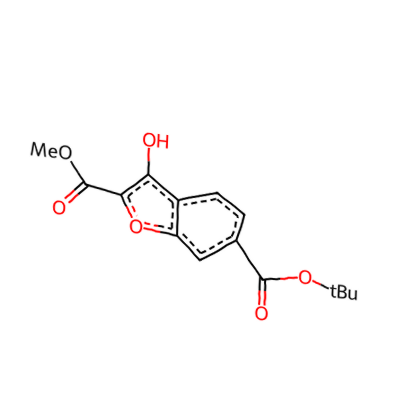 COC(=O)c1oc2cc(C(=O)OC(C)(C)C)ccc2c1O